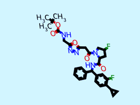 CC(C)(C)OC(=O)NCc1nnc(CC(=O)N2CC(F)CC2C(=O)NC(c2ccccc2)c2ccc(C3CC3)c(F)c2)o1